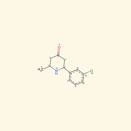 CC1CC(=O)CC(c2cccc(Cl)c2)N1